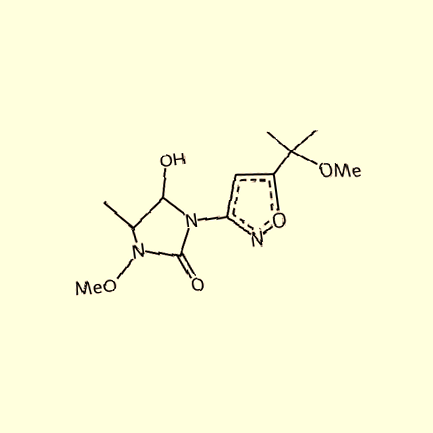 CON1C(=O)N(c2cc(C(C)(C)OC)on2)C(O)C1C